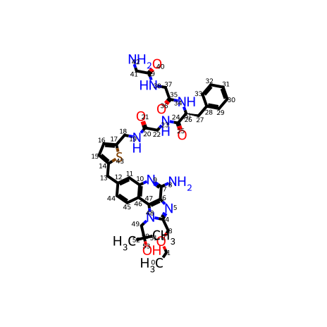 CCOCc1nc2c(N)nc3cc(Cc4ccc(CNC(=O)CNC(=O)[C@H](Cc5ccccc5)NC(=O)CNC(=O)CN)s4)ccc3c2n1CC(C)(C)O